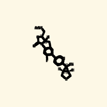 CC(=O)NC[C@@H]1OC(=O)N2c3cc(F)c(-c4ccc([C@@]5(C#N)[C@@H]6CSC[C@@H]65)nc4)cc3C[C@@H]12